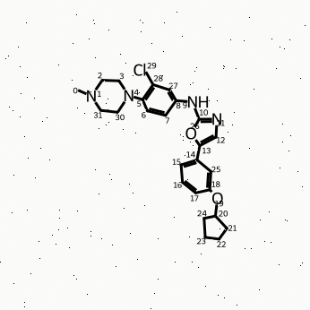 CN1CCN(c2ccc(Nc3ncc(-c4cccc(OC5CCCC5)c4)o3)cc2Cl)CC1